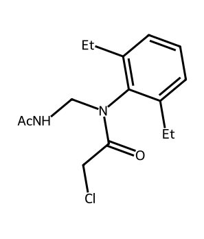 CCc1cccc(CC)c1N(CNC(C)=O)C(=O)CCl